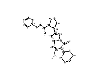 O=C(NCc1ccccc1)C1CCCN1c1nc2c(=O)n(C3CCOCC3)c(C(F)(F)F)nc2s1